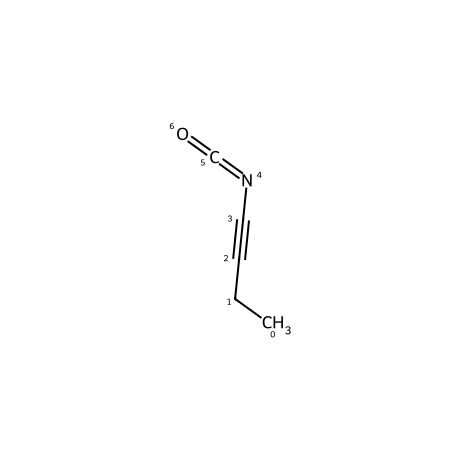 CCC#CN=C=O